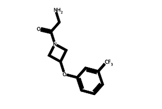 NCC(=O)N1CC(Oc2cccc(C(F)(F)F)c2)C1